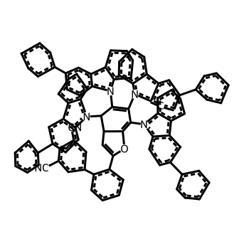 N#Cc1cc(C#N)cc(-c2ccccc2C2=CC3C(=C(n4c5ccccc5c5cc(-c6ccccc6)ccc54)C(n4c5ccccc5c5cc(-c6ccccc6)ccc54)=C(n4c5ccccc5c5cc(-c6ccccc6)ccc54)C3n3c4ccccc4c4cc(-c5ccccc5)ccc43)O2)c1